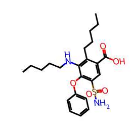 CCCCCNc1c(CCCCC)c(C(=O)O)cc(S(N)(=O)=O)c1Oc1ccccc1